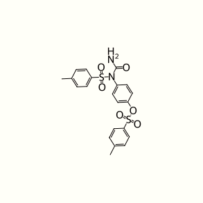 Cc1ccc(S(=O)(=O)Oc2ccc(N(C(N)=O)S(=O)(=O)c3ccc(C)cc3)cc2)cc1